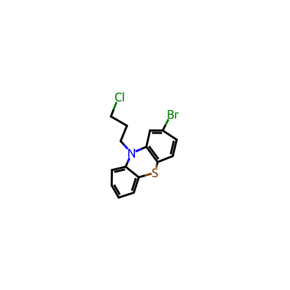 ClCCCN1c2ccccc2Sc2ccc(Br)cc21